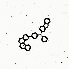 c1ccc(N(c2ccc(-c3ccc4ccc5ccc6ccccc6c5c4c3)cc2)c2ccc3c(c2)oc2ccccc23)cc1